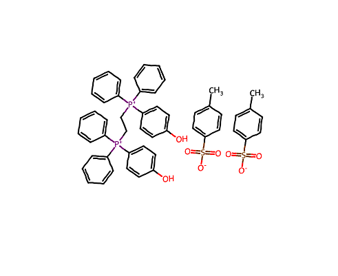 Cc1ccc(S(=O)(=O)[O-])cc1.Cc1ccc(S(=O)(=O)[O-])cc1.Oc1ccc([P+](CC[P+](c2ccccc2)(c2ccccc2)c2ccc(O)cc2)(c2ccccc2)c2ccccc2)cc1